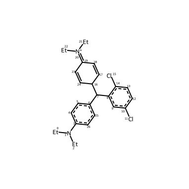 CCN(CC)c1ccc(C(c2cc(Cl)ccc2Cl)C2C=CC(=[N+](CC)CC)C=C2)cc1